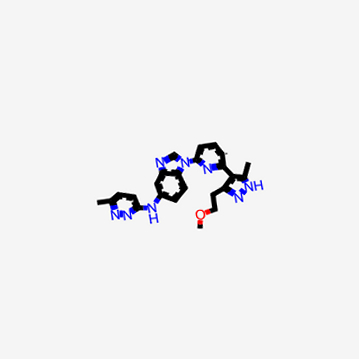 COCCc1n[nH]c(C)c1-c1[c]ccc(-n2cnc3cc(Nc4ccc(C)nn4)ccc32)n1